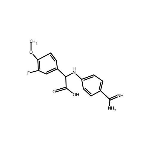 COc1ccc(C(Nc2ccc(C(=N)N)cc2)C(=O)O)cc1F